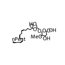 CCCCC/C=C\C/C=C\C/C=C\C/C=C\CCCC(=O)OC(CO)CO[C@@H]1O[C@H](CO)C[C@H](O)[C@H]1OC